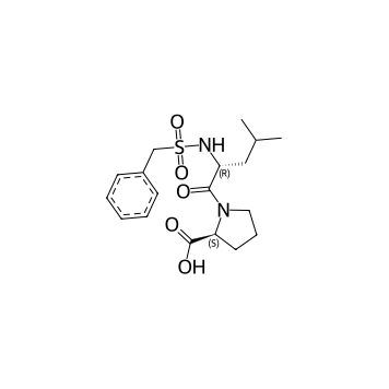 CC(C)C[C@@H](NS(=O)(=O)Cc1ccccc1)C(=O)N1CCC[C@H]1C(=O)O